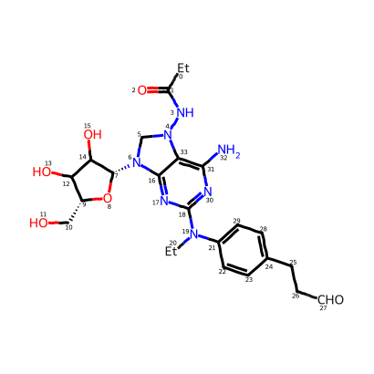 CCC(=O)NN1CN([C@@H]2O[C@H](CO)C(O)C2O)c2nc(N(CC)c3ccc(CCC=O)cc3)nc(N)c21